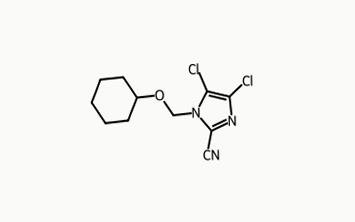 N#Cc1nc(Cl)c(Cl)n1COC1CCCCC1